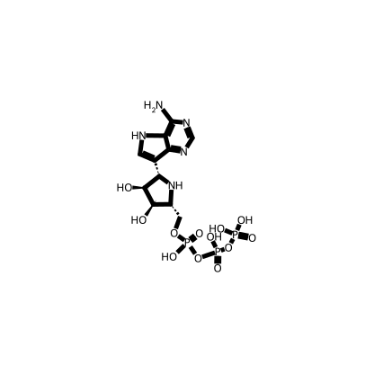 Nc1ncnc2c([C@@H]3N[C@H](COP(=O)(O)OP(=O)(O)OP(=O)(O)O)[C@@H](O)[C@H]3O)c[nH]c12